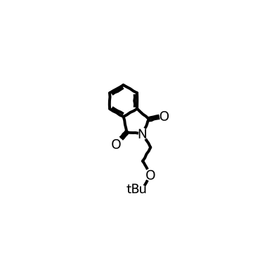 CC(C)(C)OCCN1C(=O)c2ccccc2C1=O